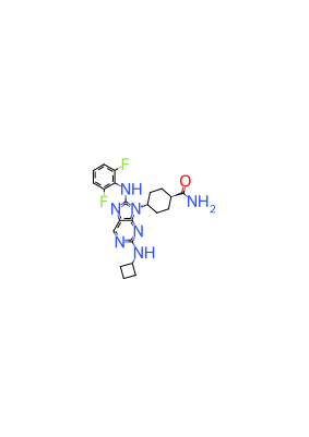 NC(=O)[C@H]1CC[C@@H](n2c(Nc3c(F)cccc3F)nc3cnc(NC4CCC4)nc32)CC1